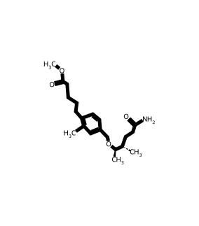 COC(=O)CCCCc1ccc(CO[C@H](C)[C@@H](C)CCC(N)=O)cc1C